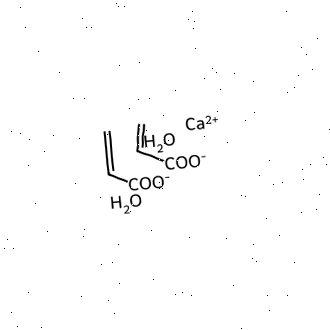 C=CC(=O)[O-].C=CC(=O)[O-].O.O.[Ca+2]